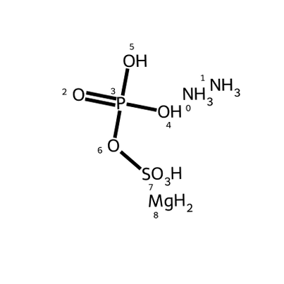 N.N.O=P(O)(O)OS(=O)(=O)O.[MgH2]